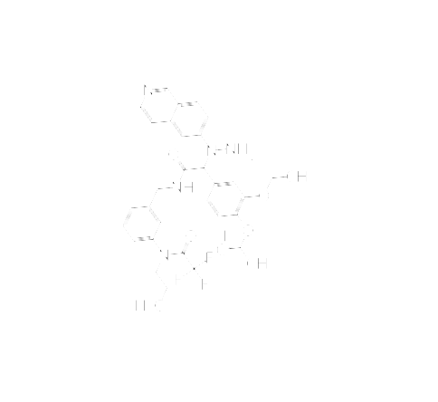 CCCN(C(=O)C(F)(F)F)c1cccc(CNC(=O)C(c2ccc(OC(C)C)c(OCC)c2)N(N)c2ccc3cnccc3c2)c1